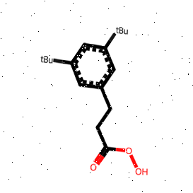 CC(C)(C)c1cc(CCC(=O)OO)cc(C(C)(C)C)c1